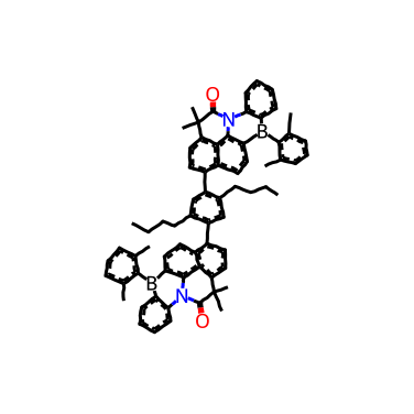 CCCCc1cc(-c2ccc3c4c5c(ccc24)B(c2c(C)cccc2C)c2ccccc2N5C(=O)C3(C)C)c(CCCC)cc1-c1ccc2c3c4c(ccc13)B(c1c(C)cccc1C)c1ccccc1N4C(=O)C2(C)C